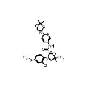 CC1(C)OC[C@@H](c2ccc(NC(=O)[C@@H]3O[C@](C)(C(F)(F)F)C[C@H]3c3ccc(OC(F)(F)F)cc3Cl)cn2)O1